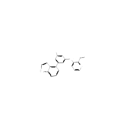 CCc1ncccc1Nc1cc(O)cc(-c2cccc3[nH]ccc23)c1